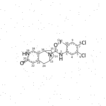 O=C(Nc1cc(Cl)c(Cl)cc1F)N1C2CCC1c1c[nH]c(=O)cc1C2